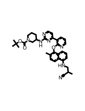 Cc1ccc2c(NCC(C)C#N)cccc2c1Oc1ncccc1-c1ccnc(NC2CCCN(C(=O)OC(C)(C)C)C2)n1